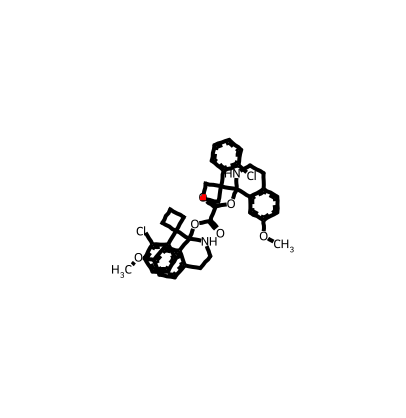 COc1ccc2c(c1)C(OC(=O)C(=O)OC1(C3(c4ccccc4Cl)CCC3)NCCc3ccc(OC)cc31)(C1(c3ccccc3Cl)CCC1)NCC2